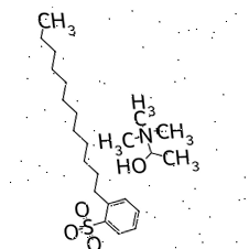 CC(O)[N+](C)(C)C.CCCCCCCCCCCCc1ccccc1S(=O)(=O)[O-]